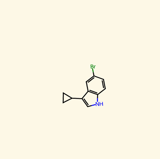 Brc1ccc2[nH]cc(C3CC3)c2c1